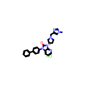 Cl.Cn1cnc(CN2CC[C@H](n3c(=O)n(-c4ccc(-c5ccccc5)cc4)c4cccnc43)C2)c1